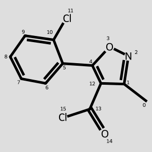 Cc1noc(-c2ccccc2Cl)c1C(=O)Cl